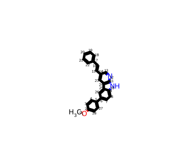 COc1ccc(-c2ccc3[nH]c4ncc(/C=C/c5ccccc5)cc4c3c2)cc1